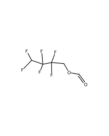 O=[C]OCC(F)(F)C(F)(F)C(F)F